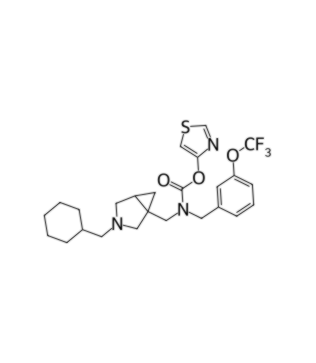 O=C(Oc1cscn1)N(Cc1cccc(OC(F)(F)F)c1)CC12CC1CN(CC1CCCCC1)C2